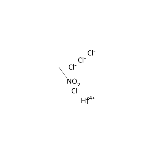 C[N+](=O)[O-].[Cl-].[Cl-].[Cl-].[Cl-].[Hf+4]